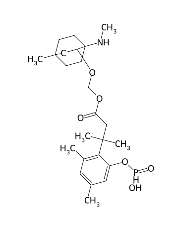 CNC12CCC(C)(CC1)CC2OCOC(=O)CC(C)(C)c1c(C)cc(C)cc1O[PH](=O)O